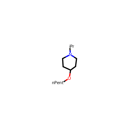 CCCCCOC1CCN(C(C)C)CC1